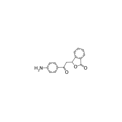 Nc1ccc(C(=O)CC2OC(=O)c3ccccc32)cc1